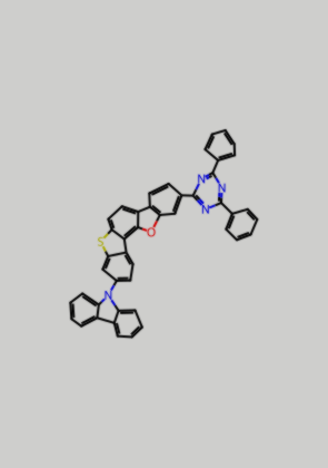 c1ccc(-c2nc(-c3ccccc3)nc(-c3ccc4c(c3)oc3c4ccc4sc5cc(-n6c7ccccc7c7ccccc76)ccc5c43)n2)cc1